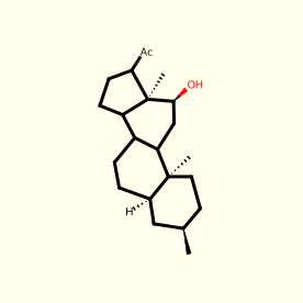 CC(=O)C1CCC2C3CC[C@@H]4C[C@H](C)CC[C@]4(C)C3C[C@H](O)[C@]12C